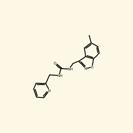 Cc1ccc2onc(CNC(=O)NCc3ccccn3)c2c1